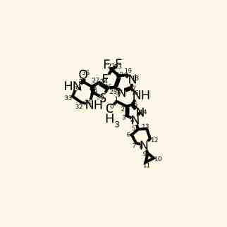 CCc1cn(C2CCN(C3CC3)CC2)nc1Nc1ncc(C(F)(F)F)c(-c2cc3c(s2)NCCNC3=O)n1